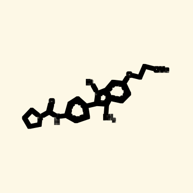 CCn1c(-c2ccc(NC(=O)N3CCCC3)cc2)c(N)c2ccc(OCCOC)cc21